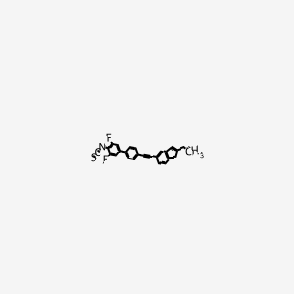 CCC1=Cc2cc(C#Cc3ccc(-c4cc(F)c(N=C=S)c(F)c4)cc3)ccc2C1